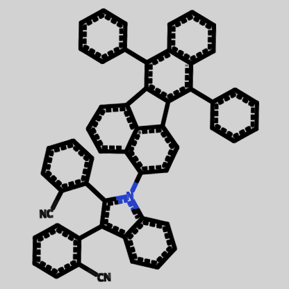 N#Cc1ccccc1-c1c(-c2ccccc2C#N)n(-c2ccc3c4c(cccc24)-c2c-3c(-c3ccccc3)c3ccccc3c2-c2ccccc2)c2ccccc12